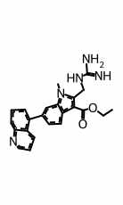 CCOC(=O)c1c(CNC(=N)N)n(C)c2cc(-c3cccc4ncccc34)ccc12